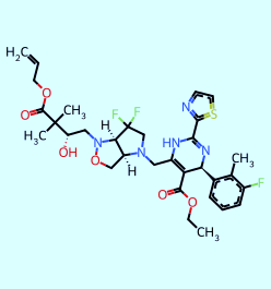 C=CCOC(=O)C(C)(C)[C@@H](O)CN1OC[C@H]2[C@@H]1C(F)(F)CN2CC1=C(C(=O)OCC)[C@H](c2cccc(F)c2C)N=C(c2nccs2)N1